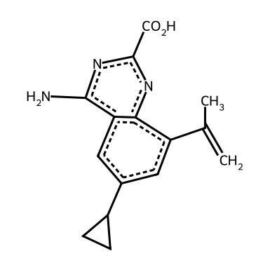 C=C(C)c1cc(C2CC2)cc2c(N)nc(C(=O)O)nc12